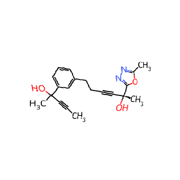 CC#CC(C)(O)c1cccc(CCC#C[C@@](C)(O)c2nnc(C)o2)c1